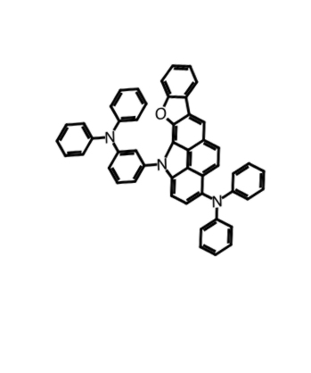 c1ccc(N(c2ccccc2)c2cccc(-n3c4ccc(N(c5ccccc5)c5ccccc5)c5ccc6cc7c8ccccc8oc7c3c6c54)c2)cc1